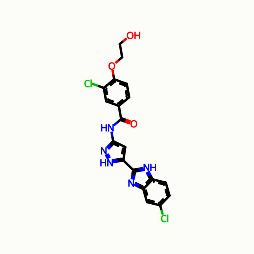 O=C(Nc1cc(-c2nc3cc(Cl)ccc3[nH]2)[nH]n1)c1ccc(OCCO)c(Cl)c1